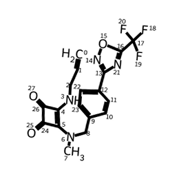 C=CCNc1c(N(C)Cc2ccc(-c3noc(C(F)(F)F)n3)cc2)c(=O)c1=O